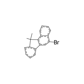 CC1(C)c2ccccc2-c2cc(Br)c3ccccc3c21